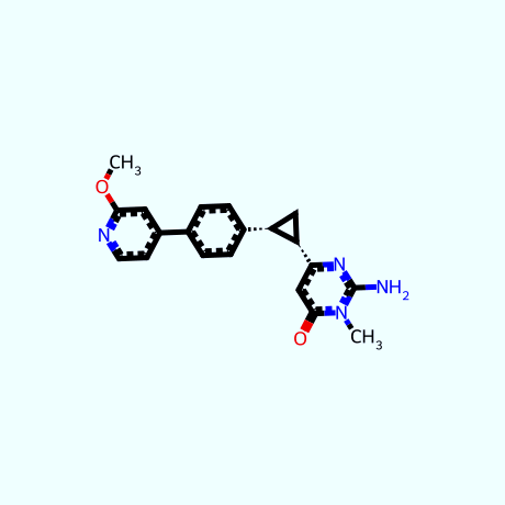 COc1cc(-c2ccc([C@@H]3C[C@@H]3c3cc(=O)n(C)c(N)n3)cc2)ccn1